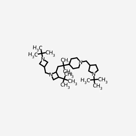 CC(C)(C)C1CN(CC2CN(C(C)(C)C)C2)C1CC(C)(C)C1CCN(CC2CCN(C(C)(C)C)C2)CC1